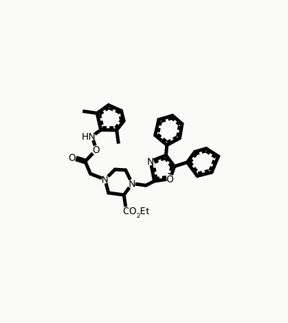 CCOC(=O)C1CN(CC(=O)ONc2c(C)cccc2C)CCN1Cc1nc(-c2ccccc2)c(-c2ccccc2)o1